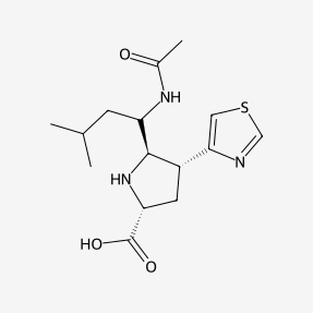 CC(=O)NC(CC(C)C)[C@@H]1N[C@@H](C(=O)O)C[C@H]1c1cscn1